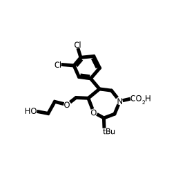 CC(C)(C)C1CN(C(=O)O)CC(c2ccc(Cl)c(Cl)c2)C(COCCO)O1